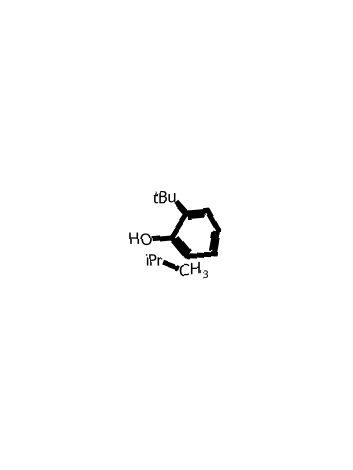 CC(C)(C)c1ccccc1O.CC(C)C